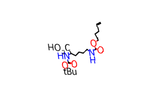 C=CCCCOC(=O)NCCCCC(NC(=O)OC(C)(C)C)C(=O)O